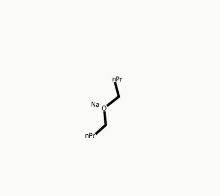 CCCCOCCCC.[Na]